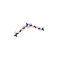 CC(C)NCCOCCOCC(=O)NC(C)C(=O)NCCOCCOCC(=O)C(C)C